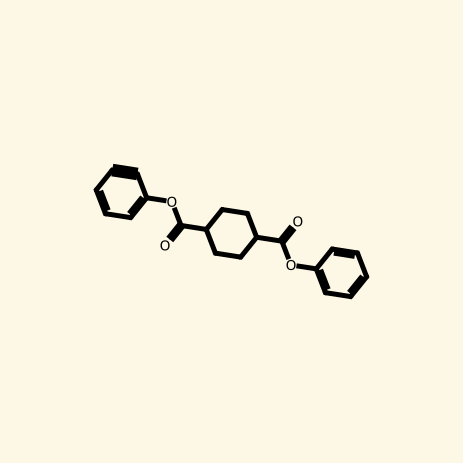 O=C(Oc1c#cccc1)C1CCC(C(=O)Oc2ccccc2)CC1